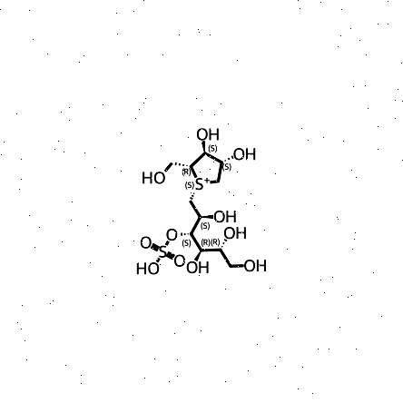 O=S(=O)(O)O[C@@H]([C@H](O)[C@H](O)CO)[C@H](O)C[S@@+]1C[C@@H](O)[C@H](O)[C@H]1CO